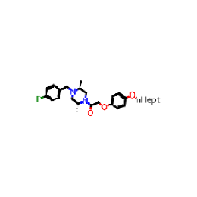 CCCCCCCOc1ccc(OCC(=O)N2C[C@H](C)N(Cc3ccc(F)cc3)C[C@H]2C)cc1